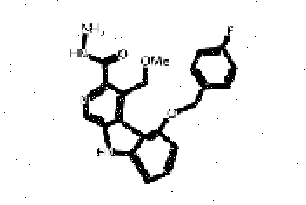 COCc1c(C(=O)NN)ncc2[nH]c3cccc(OCc4ccc(F)cc4)c3c12